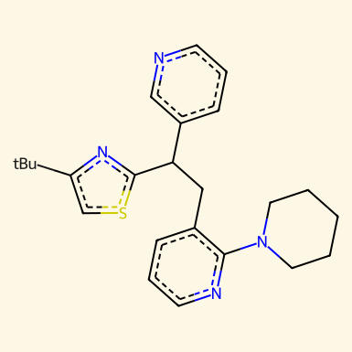 CC(C)(C)c1csc(C(Cc2cccnc2N2CCCCC2)c2cccnc2)n1